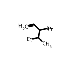 C=CC(C(C)C)C(C)CC